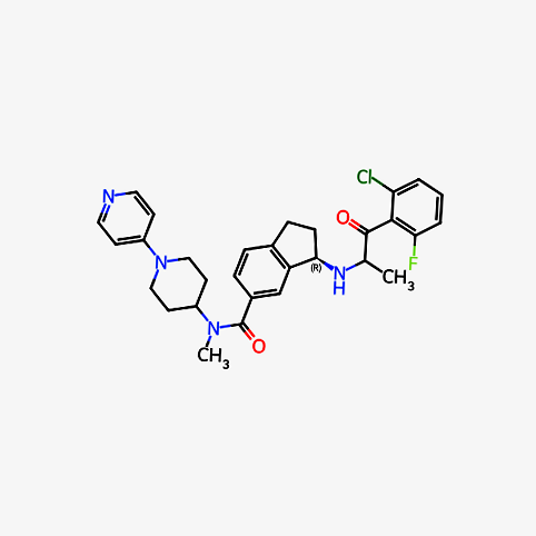 CC(N[C@@H]1CCc2ccc(C(=O)N(C)C3CCN(c4ccncc4)CC3)cc21)C(=O)c1c(F)cccc1Cl